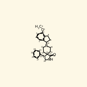 COc1cccc2c1CCC2N1CCC2(CC1)C(=O)NCN2c1ccccc1